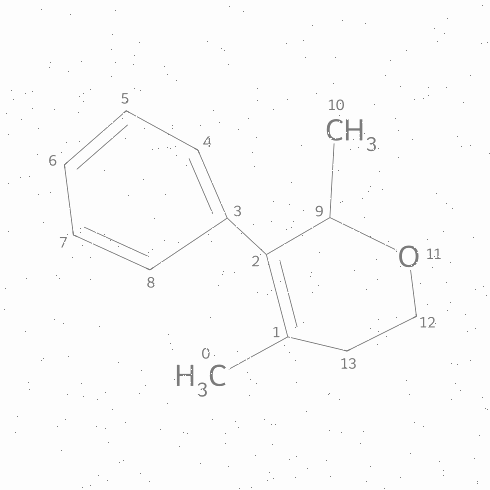 CC1=C(c2ccccc2)C(C)OCC1